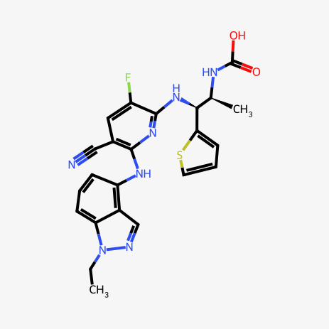 CCn1ncc2c(Nc3nc(N[C@H](c4cccs4)[C@H](C)NC(=O)O)c(F)cc3C#N)cccc21